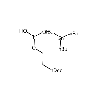 CCCCCCCCCCCCOP(O)O.CCC[CH2][Sn]([CH2]CCC)[CH2]CCC